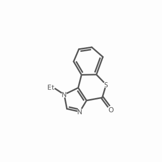 CCn1cnc2c(=O)sc3ccccc3c21